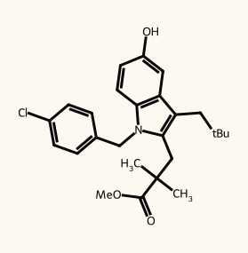 COC(=O)C(C)(C)Cc1c(CC(C)(C)C)c2cc(O)ccc2n1Cc1ccc(Cl)cc1